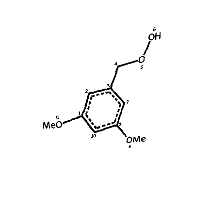 COc1cc(COO)cc(OC)c1